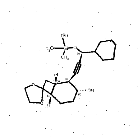 CC(C)(C)[Si](C)(C)O[C@H](C#C[C@@H]1[C@H]2CC3(OCCO3)[C@H]2CC[C@H]1O)C1CCCCC1